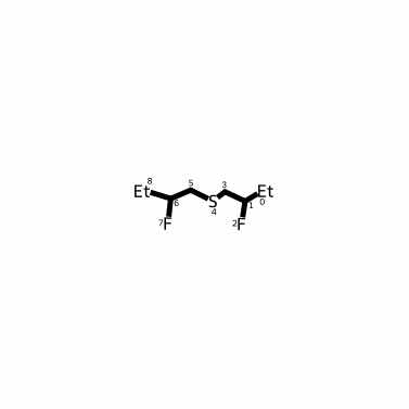 CCC(F)CSCC(F)CC